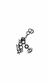 CC1(C)COC2(CCC3=C4[C@@H](CC[C@H]3C2)[C@@H]2CCC(CCCOC3CCCCO3)[C@]2(C)C[C@@H]4c2ccc(-c3nccs3)cc2)OC1